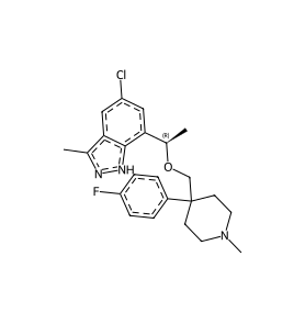 Cc1n[nH]c2c([C@@H](C)OCC3(c4ccc(F)cc4)CCN(C)CC3)cc(Cl)cc12